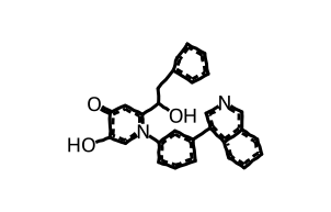 O=c1cc(C(O)Cc2ccccc2)n(-c2cccc(-c3cncc4ccccc34)c2)cc1O